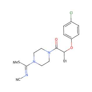 CCC(Oc1ccc(Cl)cc1)C(=O)N1CCN(C(=NC#N)SC)CC1